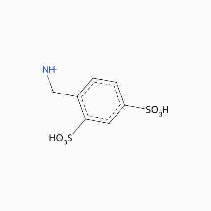 [NH]Cc1ccc(S(=O)(=O)O)cc1S(=O)(=O)O